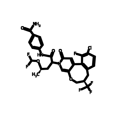 C[C@@H](CC(C(=O)Nc1ccc(C(N)=O)cc1)n1cc2c(cc1=O)-c1c(ccc(Cl)c1F)C[C@@H](C(F)(F)F)CO2)OC(F)F